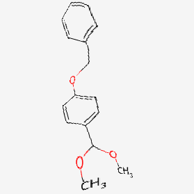 COC(OC)c1ccc(OCc2ccccc2)cc1